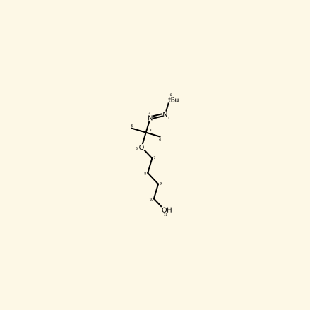 CC(C)(C)N=NC(C)(C)OCCCCO